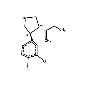 C=C(CC)[C@H]1CNC[C@@H]1c1ccc(Cl)c(Cl)c1